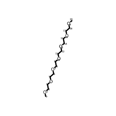 COCCOCCOCCOCCOCCOCCOC